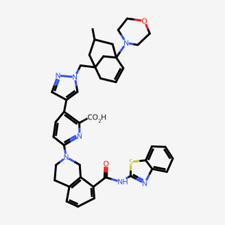 CC1CC2(Cn3cc(-c4ccc(N5CCc6cccc(C(=O)Nc7nc8ccccc8s7)c6C5)nc4C(=O)O)cn3)CC=CC(N3CCOCC3)(C1)C2